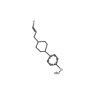 CCCCOc1ccc(C2CCC(CC=CF)CC2)cc1